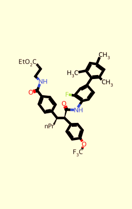 CCC[C@@H](c1ccc(C(=O)NCCC(=O)OCC)cc1)[C@@H](C(=O)Nc1ccc(-c2c(C)cc(C)cc2C)cc1F)c1ccc(OC(F)(F)F)cc1